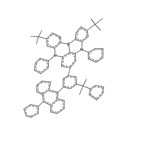 CC(C)(C)c1ccc2c(c1)N(c1ccccc1)c1cc(-c3cc(-c4c5ccccc5c(-c5ccccc5)c5ccccc45)cc(C(C)(C)c4ccccc4)c3)cc3c1B2c1ccc(C(C)(C)C)cc1N3c1ccccc1